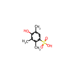 Cc1cc(S(=O)(=O)O)c(C)c(C)c1O